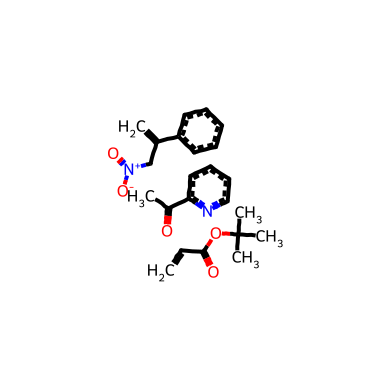 C=C(C[N+](=O)[O-])c1ccccc1.C=CC(=O)OC(C)(C)C.CC(=O)c1ccccn1